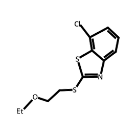 CCOCCSc1nc2cccc(Cl)c2s1